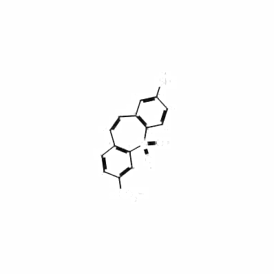 O=C(O)c1ccc2c(c1)S(=O)(=O)c1ccc(S)cc1C=C2